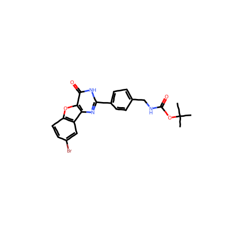 CC(C)(C)OC(=O)NCc1ccc(-c2nc3c(oc4ccc(Br)cc43)c(=O)[nH]2)cc1